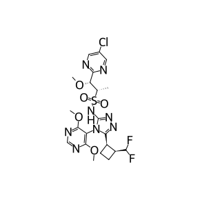 COc1ncnc(OC)c1-n1c(NS(=O)(=O)[C@@H](C)[C@H](OC)c2ncc(Cl)cn2)nnc1[C@@H]1CC[C@@H]1C(F)F